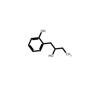 CCC(O)Cc1ccccc1O